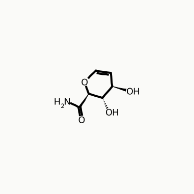 NC(=O)[C@H]1OC=C[C@@H](O)[C@@H]1O